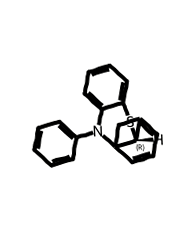 C1=CC23CC(=C1)[C@H]2Sc1ccccc1N3c1ccccc1